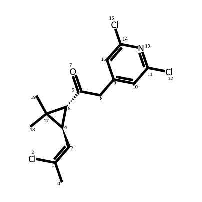 C/C(Cl)=C/[C@@H]1[C@@H](C(=O)Cc2cc(Cl)nc(Cl)c2)C1(C)C